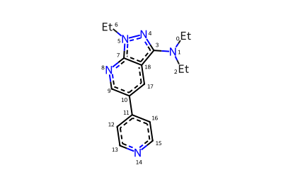 CCN(CC)c1nn(CC)c2ncc(-c3ccncc3)cc12